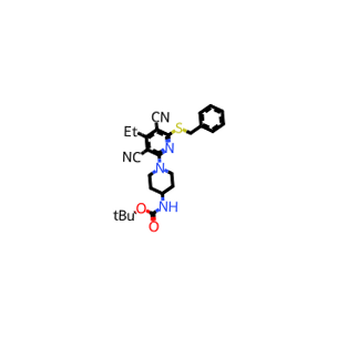 CCc1c(C#N)c(SCc2ccccc2)nc(N2CCC(NC(=O)OC(C)(C)C)CC2)c1C#N